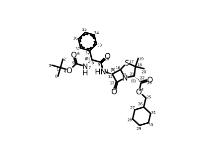 CC(C)(C)OC(=O)N[C@@H](C(=O)N[C@@H]1C(=O)N2C1SC(C)(C)[C@@H]2C(=O)OCC1CCCCC1)c1ccccc1